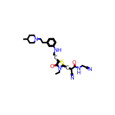 CCn1c(=C=C(C#N)C(=O)NCC#N)sc(=C=CNc2cccc(CCN3CCC(C)CC3)c2)c1=O